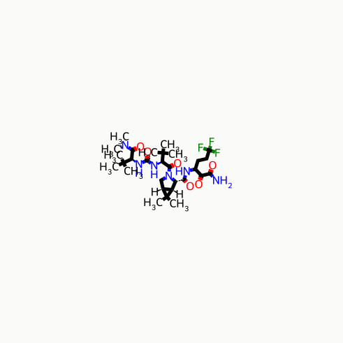 CN(C)C(=O)[C@@H](NC(=O)N[C@H](C(=O)N1C[C@H]2[C@@H]([C@H]1C(=O)NC(CCC(F)(F)F)C(=O)C(N)=O)C2(C)C)C(C)(C)C)C(C)(C)C